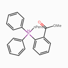 CCCCC[PH](c1ccccc1)(c1ccccc1)c1ccccc1C(=O)OC